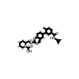 Cc1ccc(C(=O)NC2CC2)cc1-c1ccc2nc(NCC3CCCCN3C(=O)O)ncc2c1